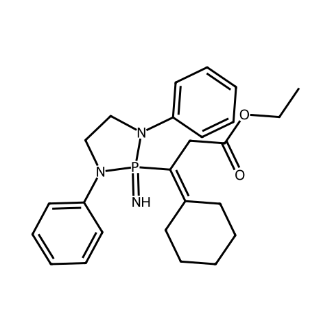 CCOC(=O)CC(=C1CCCCC1)P1(=N)N(c2ccccc2)CCN1c1ccccc1